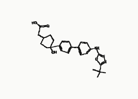 CC(C)(C)c1nnc(Nc2ccc(-c3ccc(C4(O)CCC(CC(=O)O)CC4)cc3)cc2)o1